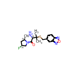 CC(C)(SCc1ccc2nonc2c1)[C@H](N)C(=O)N1C[C@@H](F)C[C@H]1C#N